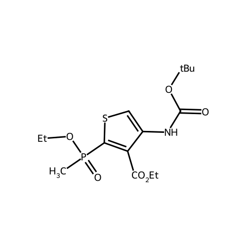 CCOC(=O)c1c(NC(=O)OC(C)(C)C)csc1P(C)(=O)OCC